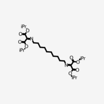 CC(C)OC(=O)C(=NCCCCCCCCCCN=C(C(=O)OC(C)C)C(=O)OC(C)C)C(=O)OC(C)C